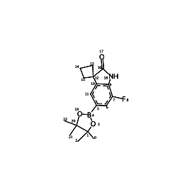 CC1(C)OB(c2cc(F)c3c(c2)C2(CCC2)C(=O)N3)OC1(C)C